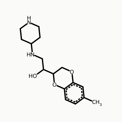 Cc1ccc2c(c1)OCC(C(O)CNC1CCNCC1)O2